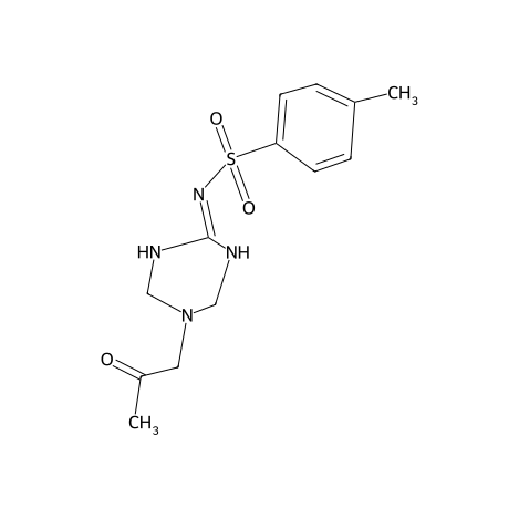 CC(=O)CN1CNC(=NS(=O)(=O)c2ccc(C)cc2)NC1